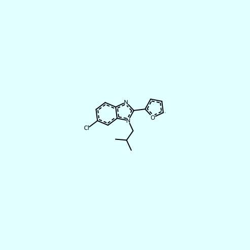 CC(C)Cn1c(-c2cc[c]o2)nc2ccc(Cl)cc21